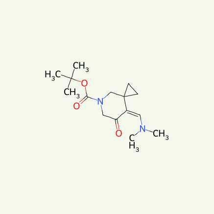 CN(C)/C=C1\C(=O)CN(C(=O)OC(C)(C)C)CC12CC2